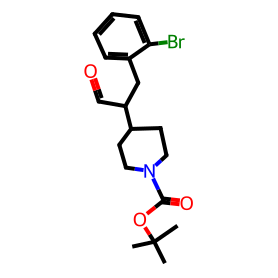 CC(C)(C)OC(=O)N1CCC(C(C=O)Cc2ccccc2Br)CC1